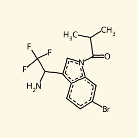 CC(C)C(=O)n1cc(C(N)C(F)(F)F)c2ccc(Br)cc21